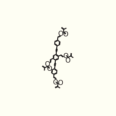 C=C(C)C(=O)O/C=C/c1ccc(C#Cc2cc(/C=C/OC(=O)C(=C)C)c(C#Cc3ccc(/C=C/OC(=O)C(=C)C)cc3)cc2/C=C/OC(=O)C(=C)C)cc1